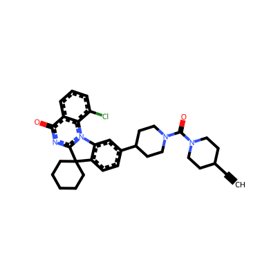 C#CC1CCN(C(=O)N2CCC(c3ccc4c(c3)-n3c(nc(=O)c5cccc(Cl)c53)C43CCCCC3)CC2)CC1